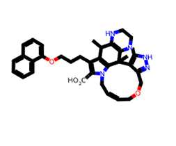 CC1C2=C3N(CCN2)Cc2[nH]nc4c2C3(C)c2c1c(CCCOc1cccc3ccccc13)c(C(=O)O)n2C/C=C\COC4